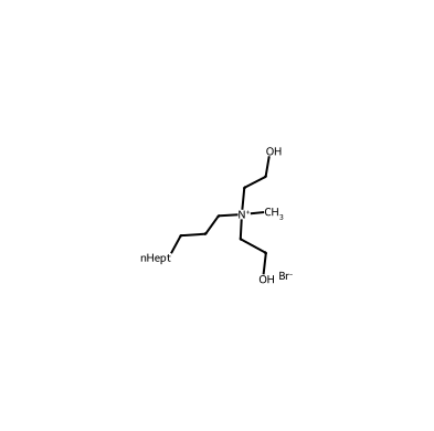 CCCCCCCCCC[N+](C)(CCO)CCO.[Br-]